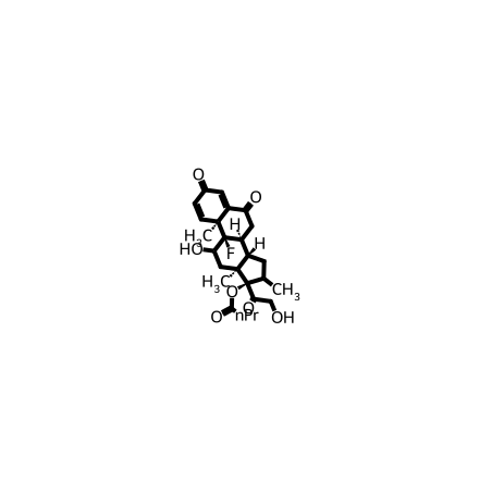 CCCC(=O)O[C@]1(C(=O)CO)C(C)C[C@H]2[C@@H]3CC(=O)C4=CC(=O)C=C[C@]4(C)[C@@]3(F)C(O)C[C@@]21C